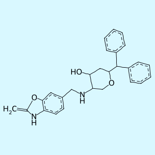 C=C1Nc2ccc(CNC3COC(C(c4ccccc4)c4ccccc4)CC3O)cc2O1